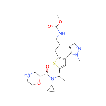 COC(=O)NCCCc1sc(C(C)N(C(=O)[C@H]2CNCCO2)C2CC2)cc1-c1ccnn1C